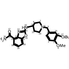 COc1ccc(CN2CCC(Nc3nc4c(C(N)=O)[c]ccc4o3)CC2)cc1OCC(C)C